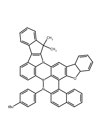 CC(C)(C)c1ccc(N2B3c4c(cc5c(c4-c4c2ccc2ccccc42)OC2C=CC=CC52)-n2c4c(c5cccc3c52)-c2ccccc2C4(C)C)cc1